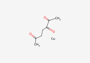 CC(=O)CCC(=O)C(C)=O.[Cu]